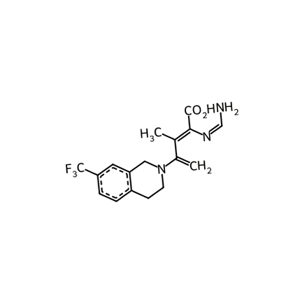 C=C(/C(C)=C(\N=C/N)C(=O)O)N1CCc2ccc(C(F)(F)F)cc2C1